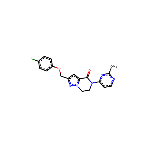 COc1nccc(N2CCn3nc(COc4ccc(F)cc4)cc3C2=O)n1